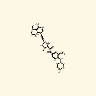 C=Nc1c(N)ncc(C#CC2NC(C(=O)Nc3ccc(CN4CCN(C)CC4)c(C(F)(F)F)c3)C(C)S2)c1/C=C\C